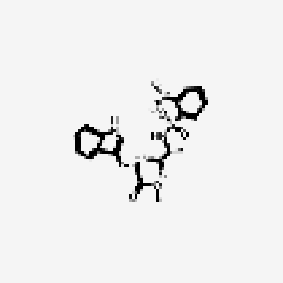 COC(=O)[C@H](Cc1c[nH]c2ccccc12)NC(=O)[C@H](C)NS(=O)(=O)c1ccccc1[N+](=O)[O-]